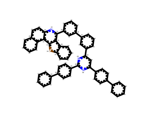 c1ccc(-c2ccc(-c3cc(-c4cccc(-c5cccc(-c6nc7ccc8ccccc8c7c7sc8ccccc8c67)c5)c4)nc(-c4ccc(-c5ccccc5)cc4)n3)cc2)cc1